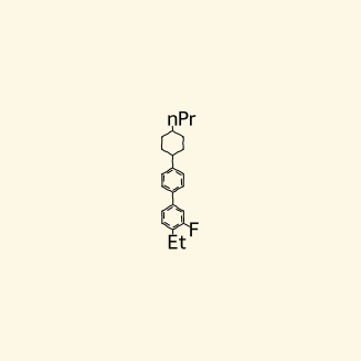 CCCC1CCC(c2ccc(-c3ccc(CC)c(F)c3)cc2)CC1